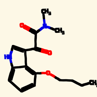 CCCCOc1cccc2[nH]cc(C(=O)C(=O)N(C)C)c12